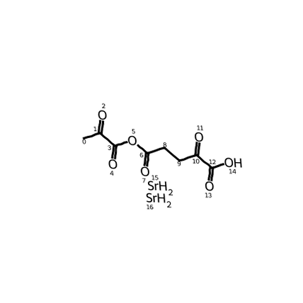 CC(=O)C(=O)OC(=O)CCC(=O)C(=O)O.[SrH2].[SrH2]